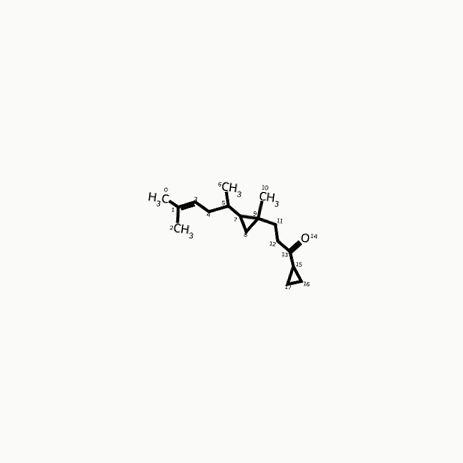 CC(C)=CCC(C)C1CC1(C)CCC(=O)C1CC1